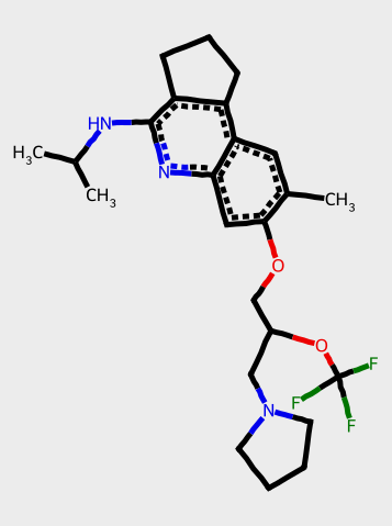 Cc1cc2c3c(c(NC(C)C)nc2cc1OCC(CN1CCCC1)OC(F)(F)F)CCC3